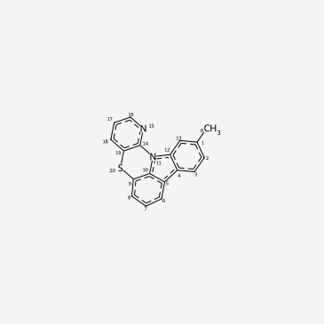 Cc1ccc2c3cccc4c3n(c2c1)-c1ncccc1S4